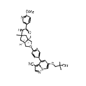 COc1ccc(C(=O)NC2(C)C[C@H]3CN(c4ccc(-c5cc(OCC(C)(C)O)cn6ncc(C#N)c56)cn4)C[C@H]3C2)cn1